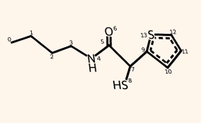 CCCCNC(=O)C(S)c1cccs1